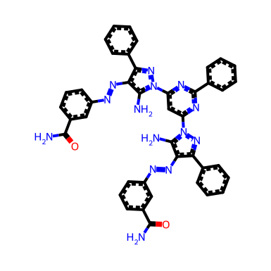 NC(=O)c1cccc(/N=N/c2c(-c3ccccc3)nn(-c3cc(-n4nc(-c5ccccc5)c(/N=N/c5cccc(C(N)=O)c5)c4N)nc(-c4ccccc4)n3)c2N)c1